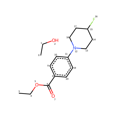 CCO.CCOC(=O)c1ccc(N2CCC(F)CC2)cc1